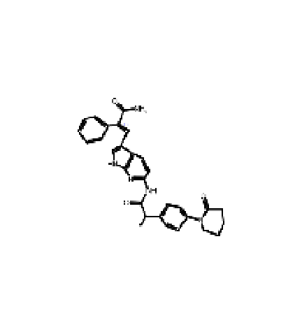 CC(C(=O)Nc1ccc2c(/C=C(/C(N)=O)c3ccccc3)c[nH]c2n1)c1ccc(N2CCCCC2=O)cc1